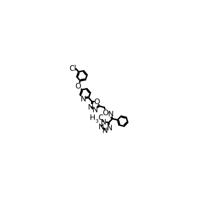 Cn1nnnc1/C(=N\OCc1nnc(-c2ccc(Oc3cccc(Cl)c3)cn2)o1)c1ccccc1